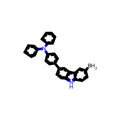 Bc1ccc2[nH]c3ccc(-c4ccc(N(c5ccccc5)c5ccccc5)cc4)cc3c2c1